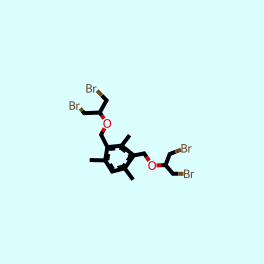 Cc1cc(C)c(COC(CBr)CBr)c(C)c1COC(CBr)CBr